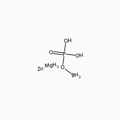 BOP(=O)(O)O.[MgH2].[Zn]